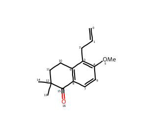 C=CCc1c(OC)ccc2c1CCC(C)(C)C2=O